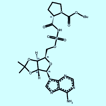 CC(C)(C)OC(=O)N1CCC[C@H]1C(=O)NS(=O)(=O)OC[C@H]1O[C@@H](n2cnc3c(N)ncnc32)[C@@H]2OC(C)(C)O[C@H]21